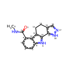 CNC(=O)c1cccc2[nH]c3c(c12)CCc1cn[nH]c1-3